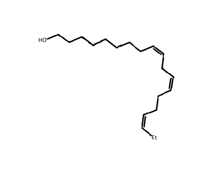 CC/C=C\CC/C=C\C/C=C\CCCCCCCCO